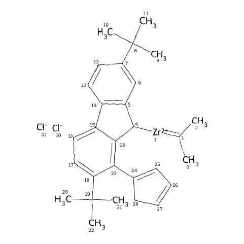 C[C](C)=[Zr+2][CH]1c2cc(C(C)(C)C)ccc2-c2ccc(C(C)(C)C)c(C3=CC=CC3)c21.[Cl-].[Cl-]